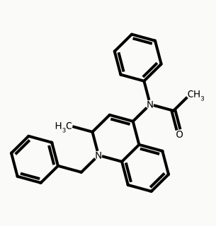 CC(=O)N(C1=CC(C)N(Cc2ccccc2)c2ccccc21)c1ccccc1